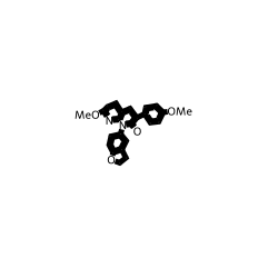 COc1ccc(-c2cc3ccc(OC)nc3n(-c3ccc4c(c3)CCO4)c2=O)cc1